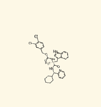 C[C@@](Cc1c[nH]c2ccccc12)(NC(=O)OCc1ccc(Cl)c(Cl)c1)C(=O)NC(c1ccccn1)C1CCCCC1